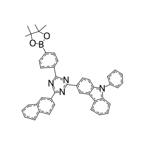 CC1(C)OB(c2ccc(-c3nc(-c4ccc5ccccc5c4)nc(-c4ccc5c(c4)c4ccccc4n5-c4ccccc4)n3)cc2)OC1(C)C